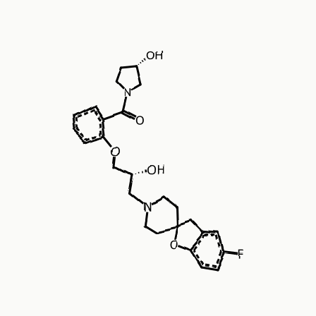 O=C(c1ccccc1OC[C@H](O)CN1CCC2(CC1)Cc1cc(F)ccc1O2)N1CC[C@H](O)C1